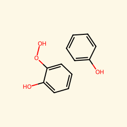 OOc1ccccc1O.Oc1ccccc1